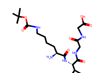 CC(C)[C@H](NC(=O)[C@@H](N)CCCCNC(=O)OC(C)(C)C)C(=O)NCC(=O)NCC(=O)O